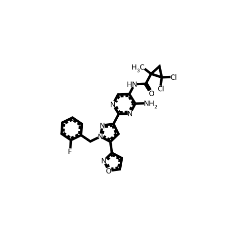 CC1(C(=O)Nc2cnc(-c3cc(-c4ccon4)n(Cc4ccccc4F)n3)nc2N)CC1(Cl)Cl